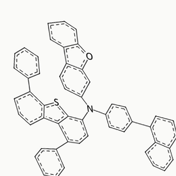 c1ccc(-c2cccc3c2sc2c(N(c4ccc(-c5cccc6ccccc56)cc4)c4ccc5c(c4)oc4ccccc45)ccc(-c4ccccc4)c23)cc1